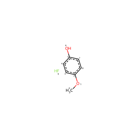 COc1ccc(O)cc1.F